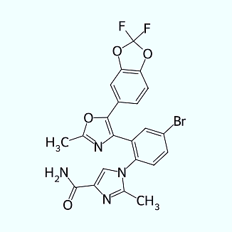 Cc1nc(-c2cc(Br)ccc2-n2cc(C(N)=O)nc2C)c(-c2ccc3c(c2)OC(F)(F)O3)o1